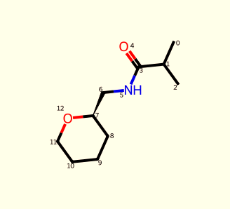 CC(C)C(=O)NC[C@H]1CCCCO1